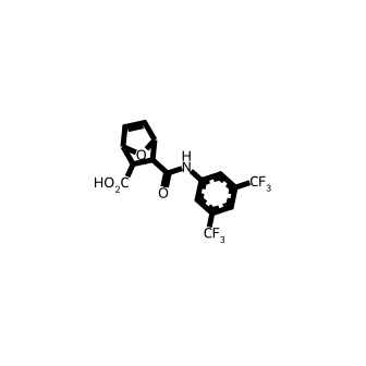 O=C(O)C1C2C=CC(O2)C1C(=O)Nc1cc(C(F)(F)F)cc(C(F)(F)F)c1